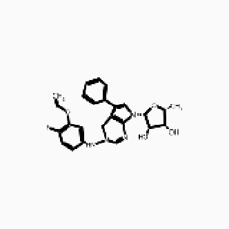 CCOc1cc(NN2C=Nc3c(c(-c4ccccc4)cn3[C@@H]3O[C@H](C)[C@@H](O)[C@H]3O)C2)ccc1F